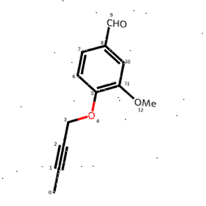 CC#CCOc1ccc(C=O)cc1OC